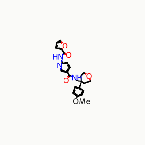 COc1ccc(C2(CNC(=O)c3ccc(NC(=O)c4ccco4)nc3)CCOCC2)cc1